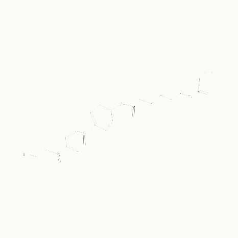 CC(C)CNC(=O)c1ccc(-c2ccc(NC(=O)CCCCCNC(=O)OC(C)(C)C)cc2)cc1